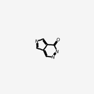 O=C1N=NC=C2C=NC=C12